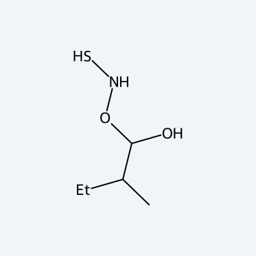 CCC(C)C(O)ONS